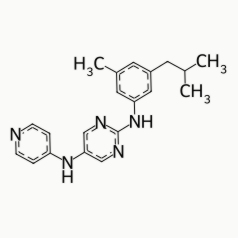 Cc1cc(CC(C)C)cc(Nc2ncc(Nc3ccncc3)cn2)c1